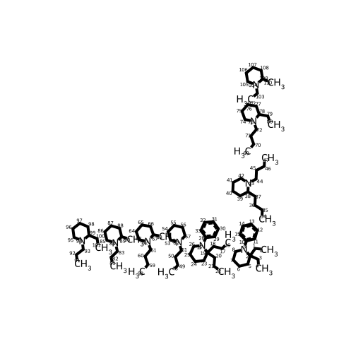 CCC1(CC)CCCCN1c1ccccc1.CCCC1(CCC)CCCCN1c1ccccc1.CCCCC1CCCCN1CCCC.CCCCN1CCCCC1.CCCCN1CCCCC1C.CCCCN1CCCCC1CC.CCCN1CCCCC1C.CCCN1CCCCC1CC.CCN1CCCCC1C